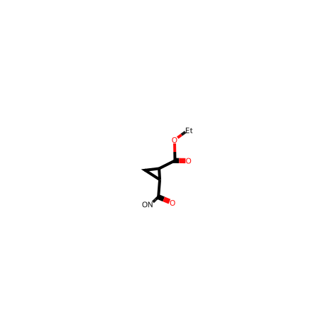 CCOC(=O)C1CC1C(=O)N=O